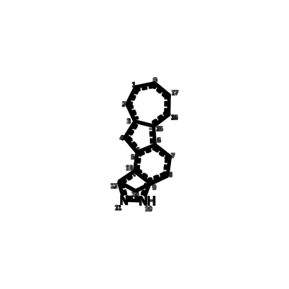 c1ccc2cc3c(cc4c5[nH]nc(c53)C4)c-2cc1